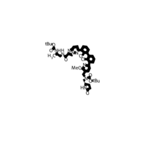 COc1nc(-c2cccc(-c3cccc(-c4ccc5nc(C(=O)NCC(C)NC(=O)OC(C)(C)C)cn5n4)c3Cl)c2Cl)ccc1CN(C[C@@H]1CCC(=O)N1)C(=O)OC(C)(C)C